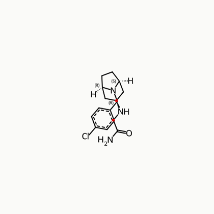 NC(=O)CN[C@H]1C[C@H]2CC[C@@H](C1)N2Cc1ccc(Cl)cc1